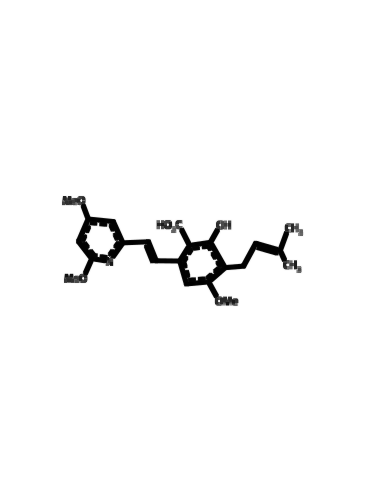 COc1cc(/C=C/c2cc(OC)c(CC=C(C)C)c(O)c2C(=O)O)nc(OC)c1